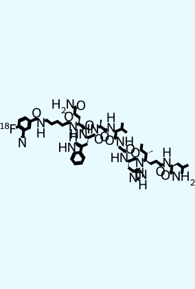 CC[C@H](C)[C@@H](CCC(=O)N[C@@H](CC(C)C)C(N)=O)NC(=O)[C@H](Cc1c[nH]cn1)NC(=O)CNC(=O)[C@@H](NC(=O)[C@H](C)NC(=O)[C@H](Cc1c[nH]c2ccccc12)NC(=O)[C@H](CCC(N)=O)NC(=O)CCCCNC(=O)c1ccc([18F])c(C#N)c1)C(C)C